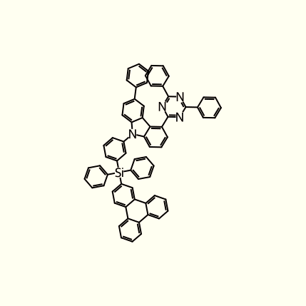 c1ccc(-c2ccc3c(c2)c2c(-c4nc(-c5ccccc5)nc(-c5ccccc5)n4)cccc2n3-c2cccc([Si](c3ccccc3)(c3ccccc3)c3ccc4c5ccccc5c5ccccc5c4c3)c2)cc1